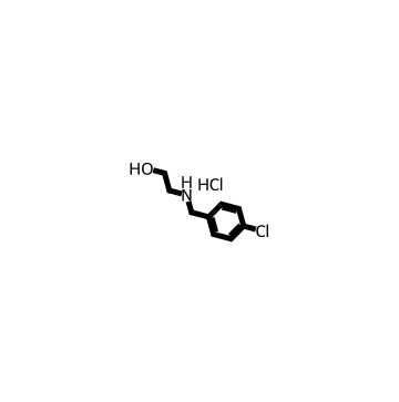 Cl.OCCNCc1ccc(Cl)cc1